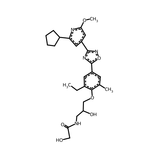 CCc1cc(-c2nc(-c3cc(OC)nc(C4CCCC4)c3)no2)cc(C)c1OCC(O)CNC(=O)CO